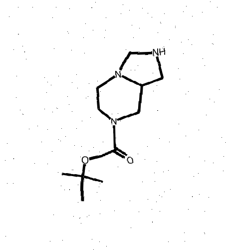 CC(C)(C)OC(=O)N1CCN2CNCC2C1